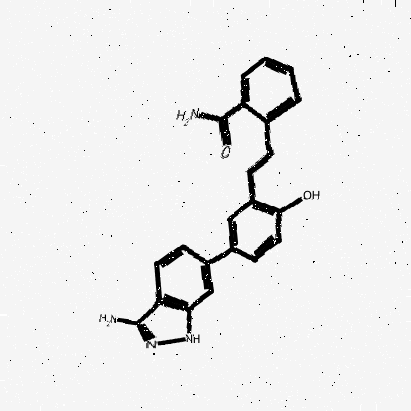 NC(=O)c1ccccc1C[CH]c1cc(-c2ccc3c(N)n[nH]c3c2)ccc1O